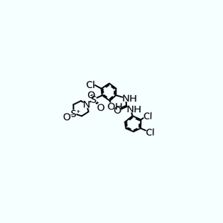 O=C(Nc1ccc(Cl)c(S(=O)(=O)N2CC[S+]([O-])CC2)c1O)Nc1cccc(Cl)c1Cl